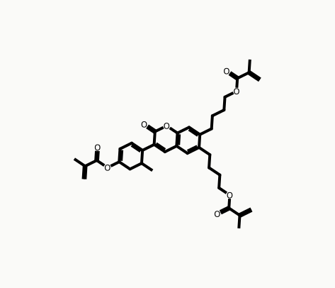 C=C(C)C(=O)OCCCCc1cc2cc(C3=CC=C(OC(=O)C(=C)C)CC3C)c(=O)oc2cc1CCCCOC(=O)C(=C)C